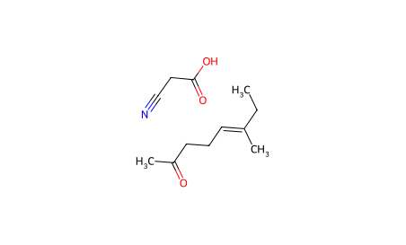 CCC(C)=CCCC(C)=O.N#CCC(=O)O